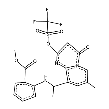 COC(=O)c1ccccc1NC(C)c1cc(C)cn2c(=O)cc(OS(=O)(=O)C(F)(F)F)nc12